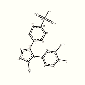 Cc1ccc(-c2c(Cl)ncn2-c2ccc(S(C)(=O)=O)nc2)cc1F